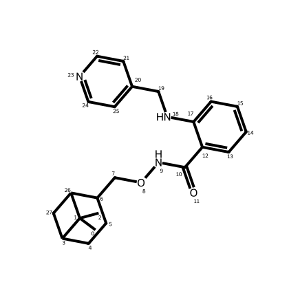 CC1(C)C2CCC(CONC(=O)c3ccccc3NCc3ccncc3)C1C2